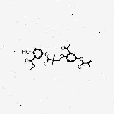 C=C(C)C(=O)Oc1ccc(OCC(C)(C)C(=O)Oc2ccc(O)c(C(=O)OC)c2)c(C(C)=O)c1